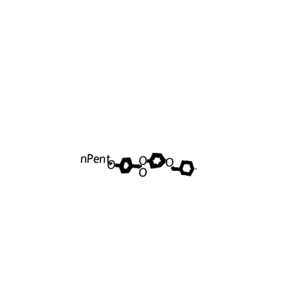 CCCCCOc1ccc(C(=O)Oc2ccc(OCC3CC[CH]CC3)cc2)cc1